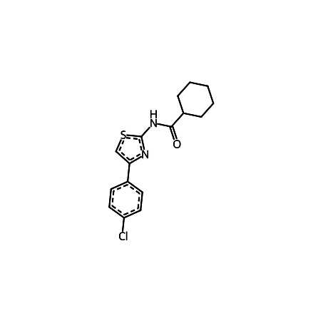 O=C(Nc1nc(-c2ccc(Cl)cc2)cs1)C1CCCCC1